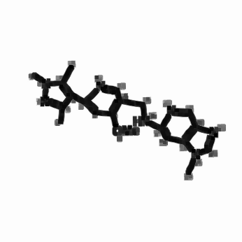 COc1cc(-c2c(C)nn(C)c2C)ncc1CNc1cc2c(cn1)ncn2C